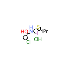 CC(C)c1csc(CC(CI)NCC(O)c2cccc(Cl)c2)c1.Cl